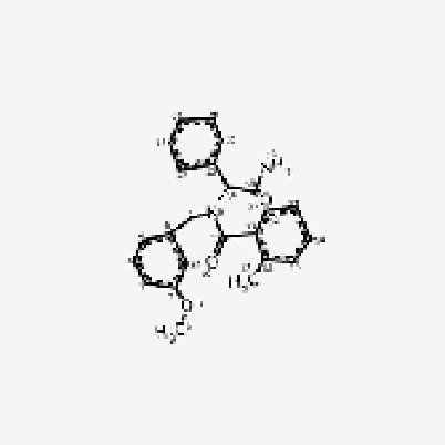 COc1cccc(CN(C(=O)c2ccccc2C)[C@@H](C(N)=O)c2ccccc2)c1